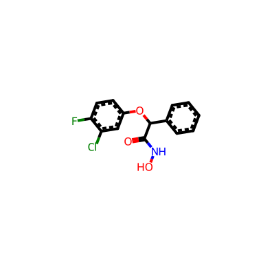 O=C(NO)C(Oc1ccc(F)c(Cl)c1)c1ccccc1